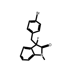 CN1C(=O)C(F)(Cc2ccc(Br)cc2)c2ccccc21